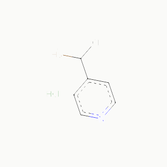 CC(S)c1ccncc1.Cl